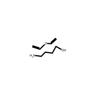 C=COC=C.NCCCCO